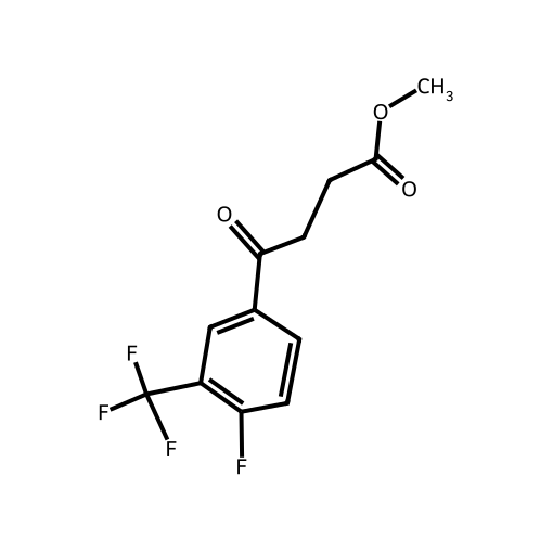 COC(=O)CCC(=O)c1ccc(F)c(C(F)(F)F)c1